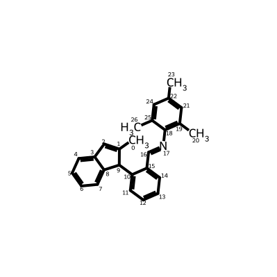 CC1=Cc2ccccc2C1c1ccccc1C=Nc1c(C)cc(C)cc1C